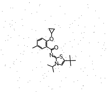 Cc1ccc(OC2CC2)c(C(=O)/N=c2\sc(C(C)(C)C)cn2C(C)C)c1